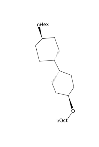 CCCCCCCCO[C@H]1CC[C@H]([C@H]2CC[C@H](CCCCCC)CC2)CC1